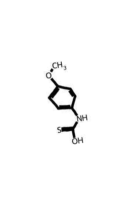 COc1ccc(NC(O)=S)cc1